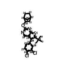 CC(C)(C)c1sc2nc(OC3CC4CCC3C4)ncc2c1-c1ccc(Cl)c(Cl)c1